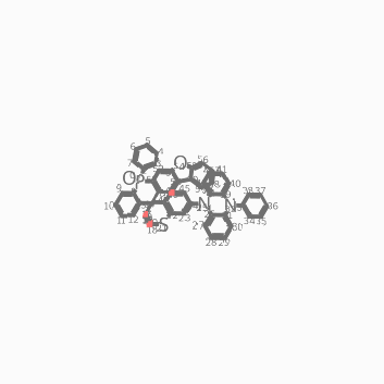 O=P1(c2ccccc2)c2ccccc2C2(c3ccccc3Sc3cc(N4c5ccccc5N(c5ccccc5)c5ccccc54)ccc32)c2cc3c(cc21)oc1ccccc13